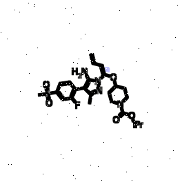 C=C/C=C(/OC1CCN(C(=O)OC(C)C)CC1)n1nc(C)c(-c2ccc(S(C)(=O)=O)cc2F)c1N